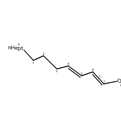 CCCCCCCCCCC=C/C=C/OC(C)=O